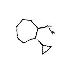 CC(C)NC1CCCCC[C@@H]1C1CC1